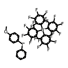 COc1ccc([I+]c2ccccc2)cc1.Fc1c(F)c(F)c([B-](c2c(F)c(F)c(F)c(F)c2F)(c2c(F)c(F)c(F)c(F)c2F)c2c(F)c(F)c(F)c(F)c2F)c(F)c1F